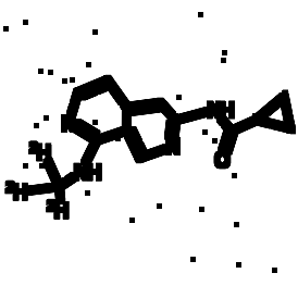 [2H]C([2H])([2H])Nc1nccc2cc(NC(=O)C3CC3)ncc12